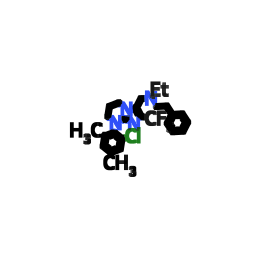 CCN(CCc1ccccc1)Cc1c(C(F)(F)F)nc2n1CCCN2c1c(C)cc(C)cc1Cl